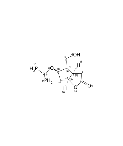 O=C1C[C@@H]2[C@@H](CO)[C@H](OB(P)P)C[C@@H]2O1